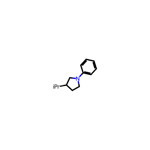 CC(C)C1CCN(c2ccccc2)C1